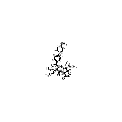 CC[C@H](C)[C@H](NC(=O)c1ccc(N2CCN(C)CC2)cc1)C(=O)N1C[C@H](C(C)C)[C@H]2OCC(=O)[C@H]21